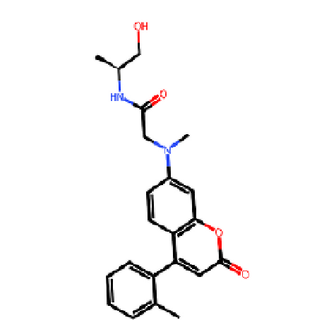 Cc1ccccc1-c1cc(=O)oc2cc(N(C)CC(=O)N[C@@H](C)CO)ccc12